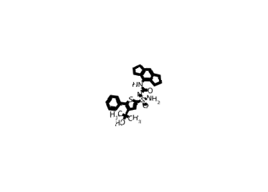 CC(C)(O)c1cc(S(N)(=O)=NC(=O)Nc2c3c(cc4c2CCC4)CCC3)sc1-c1ccccc1